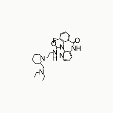 CCN(CC)CC1CCCCN1CCNC(=O)N1c2ncccc2NC(=O)c2cccc(F)c21